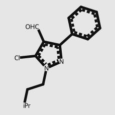 CC(C)CCn1nc(-c2ccccc2)c(C=O)c1Cl